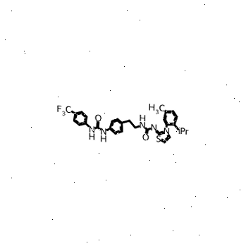 Cc1ccc(C(C)C)c(-n2ccs/c2=N\C(=O)NCCc2ccc(NC(=O)Nc3ccc(C(F)(F)F)cc3)cc2)c1